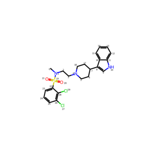 CN(CCN1CCC(c2c[nH]c3ccccc23)CC1)S(=O)(=O)c1cccc(Cl)c1Cl